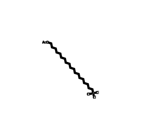 CC(=O)OCCCCCCCCCCCCCCCCCCC[Si](Cl)(Cl)Cl